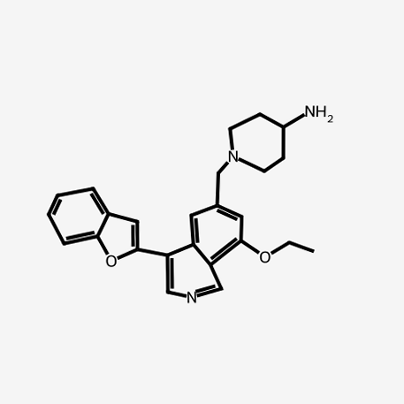 CCOc1cc(CN2CCC(N)CC2)cc2c(-c3cc4ccccc4o3)cncc12